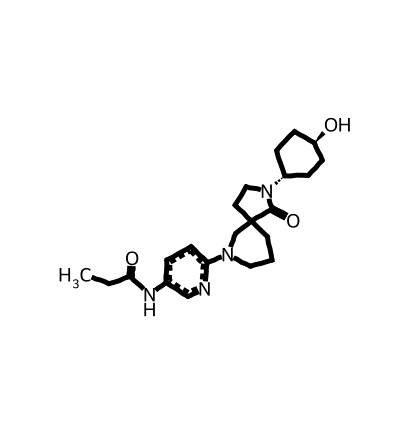 CCC(=O)Nc1ccc(N2CCCC3(CCN([C@H]4CC[C@H](O)CC4)C3=O)C2)nc1